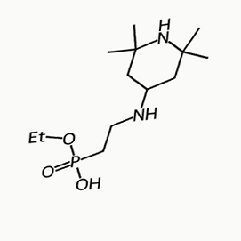 CCOP(=O)(O)CCNC1CC(C)(C)NC(C)(C)C1